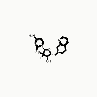 Nc1ccn([C@@H]2O[C@H](CN3CCc4cccnc4C3)[C@@H](O)C2(F)F)c(=O)n1